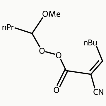 CCCCC=C(C#N)C(=O)OOC(CCC)OC